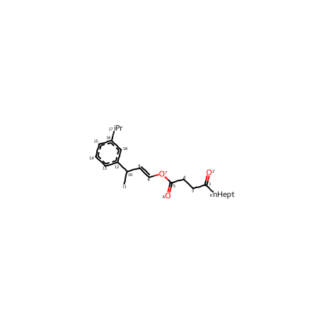 CCCCCCCC(=O)CCC(=O)O/C=C/C(C)c1cccc(C(C)C)c1